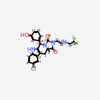 CC12Cc3c([nH]c4ccc(Cl)cc34)C(c3cccc(O)c3)N1C(=O)N(CCNCC(F)F)C2=O